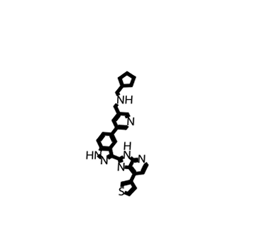 c1cc(-c2ccsc2)c2nc(-c3n[nH]c4ccc(-c5cncc(CNCC6CCCC6)c5)cc34)[nH]c2n1